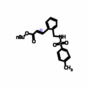 CCCCOC(=O)/C=C/c1ccccc1CNS(=O)(=O)c1ccc(C)cc1